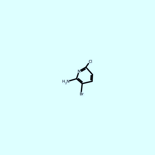 Nc1nc(Cl)ccc1Br